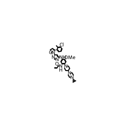 C=CC(=O)Nc1cc(Nc2cc(N3OCC[C@@H]3c3cccc(Cl)c3C)ncn2)c(OC)cc1N1CCC(N2CCN(C3CC3)CC2)CC1